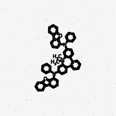 C[Si]1(C)c2cc(N(c3ccccc3)c3cccc4c3oc3ccccc34)ccc2-c2ccccc2-c2ccc(N(c3ccccc3)c3cccc4c3oc3ccccc34)cc21